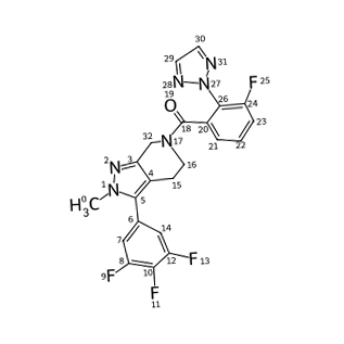 Cn1nc2c(c1-c1cc(F)c(F)c(F)c1)CCN(C(=O)c1cccc(F)c1-n1nccn1)C2